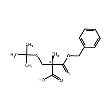 CC(C)(C)SC[C@@](C)(C(=O)O)C(=O)OCc1ccccc1